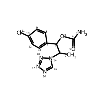 CC(C(OC(N)=O)c1ccc(Cl)cc1)n1cnnn1